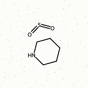 C1CCNCC1.O=S=O